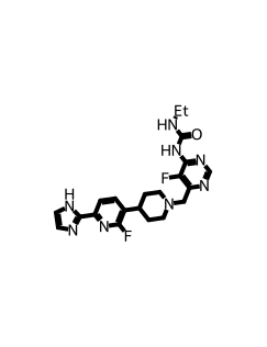 CCNC(=O)Nc1ncnc(CN2CCC(c3ccc(-c4ncc[nH]4)nc3F)CC2)c1F